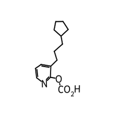 O=C(O)Oc1ncccc1CCCC1CCCC1